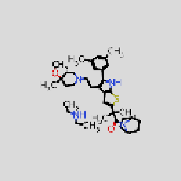 CCNCC.COC1(C)CCN(CCc2c(-c3cc(C)cc(C)c3)[nH]c3sc(C(C)(C)C(=O)N4C5CCC4CC5)cc23)CC1